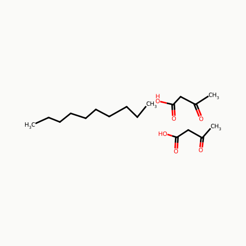 CC(=O)CC(=O)O.CC(=O)CC(=O)O.CCCCCCCCCC